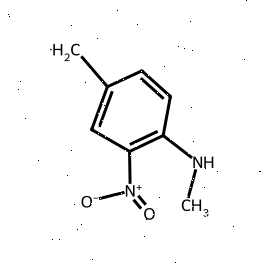 [CH2]c1ccc(NC)c([N+](=O)[O-])c1